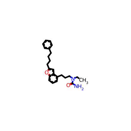 CCN(CCCc1cccc2oc(CCCCc3ccccc3)cc12)C(N)=O